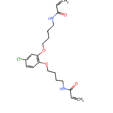 C=CC(=O)NCCCCOc1ccc(Cl)cc1OCCCCNC(=O)C=C